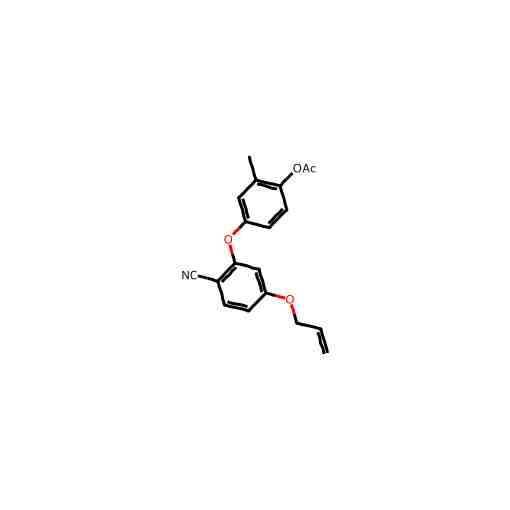 C=CCOc1ccc(C#N)c(Oc2ccc(OC(C)=O)c(C)c2)c1